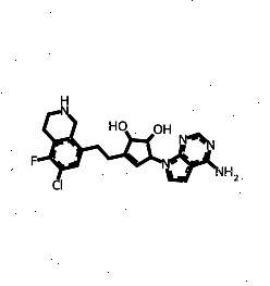 Nc1ncnc2c1ccn2C1C=C(CCc2cc(Cl)c(F)c3c2CNCC3)C(O)C1O